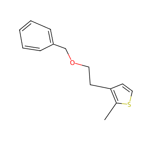 Cc1sccc1CCOCc1ccccc1